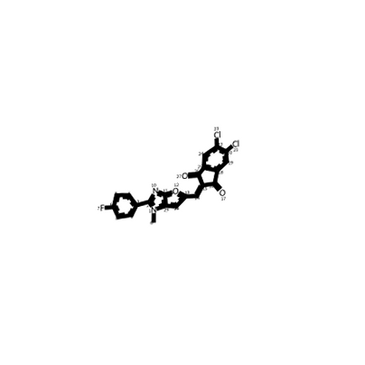 Cn1c(-c2ccc(F)cc2)nc2oc(C=C3C(=O)c4cc(Cl)c(Cl)cc4C3=O)cc21